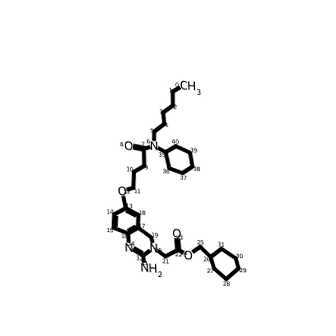 CCCCCCN(C(=O)CCCOc1ccc2c(c1)CN(CC(=O)OCC1CCCCC1)C(N)=N2)C1CCCCC1